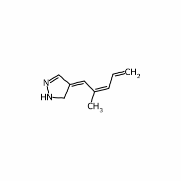 C=C/C=C(C)\C=C1\C=NNC1